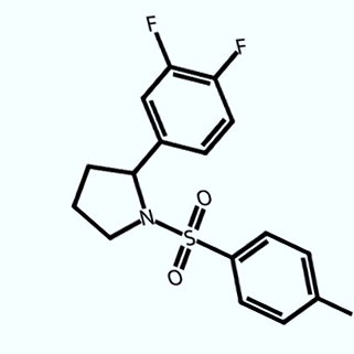 O=S(=O)(c1ccc(Cl)cc1)N1CCCC1c1ccc(F)c(F)c1